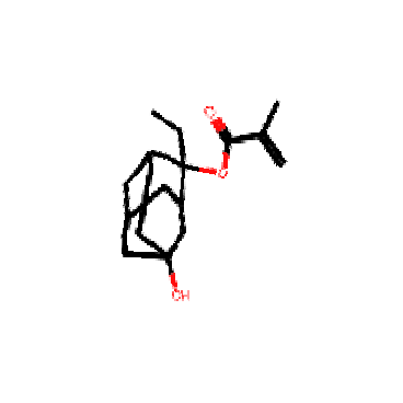 C=C(C)C(=O)OC1(CC)C2CC3CC1CC(O)(C3)C2